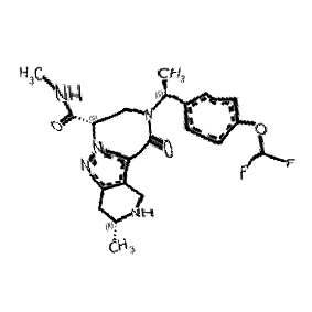 CNC(=O)[C@@H]1CN([C@@H](C)c2ccc(OC(F)F)cc2)C(=O)c2c3c(nn21)C[C@@H](C)NC3